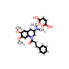 COc1cc2c(cc1OC)N(C(=O)CCc1ccccc1)CC(N(C)C)C2.O=C(O)/C=C\C(=O)O